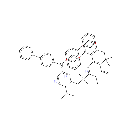 C=CC1=C(/C=C(\CC)C(C)(C)CC(C)/C=C(\C=C/CC(C)C)N(c2ccc(-c3ccccc3)cc2)c2ccc(-c3ccccc3)cc2)c2c(cccc2-c2ccccc2)CC1(C)C